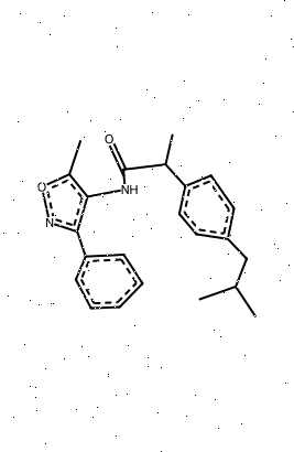 Cc1onc(-c2ccccc2)c1NC(=O)C(C)c1ccc(CC(C)C)cc1